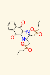 CCCS(=O)(=O)Cc1nc2c(nc1CS(=O)(=O)CCC)C(=O)c1ccccc1C2=O